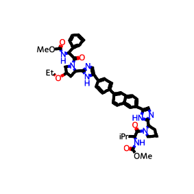 CCOC1CC(c2ncc(-c3ccc(-c4ccc5cc(-c6cnc(C7CCCN7C(=O)C(NC(=O)OC)C(C)C)[nH]6)ccc5c4)cc3)[nH]2)N(C(=O)C(NC(=O)OC)c2ccccc2)C1